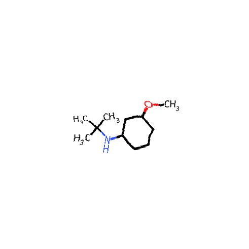 COC1CCCC(NC(C)(C)C)C1